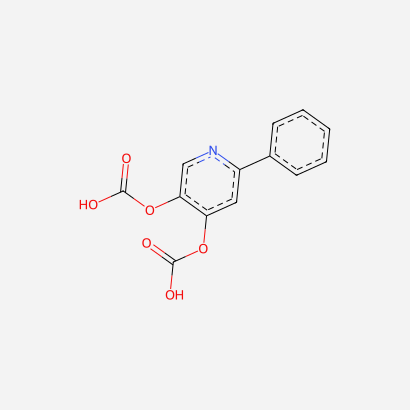 O=C(O)Oc1cnc(-c2ccccc2)cc1OC(=O)O